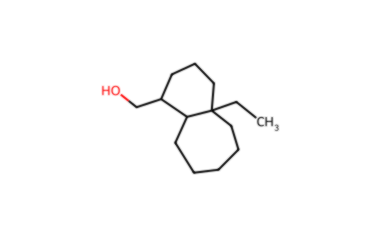 CCC12CCCCCC1C(CO)CCC2